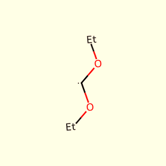 CCO[CH]OCC